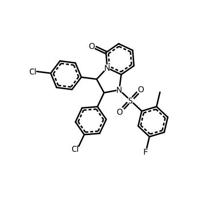 Cc1ccc(F)cc1S(=O)(=O)N1c2cccc(=O)n2C(c2ccc(Cl)cc2)C1c1ccc(Cl)cc1